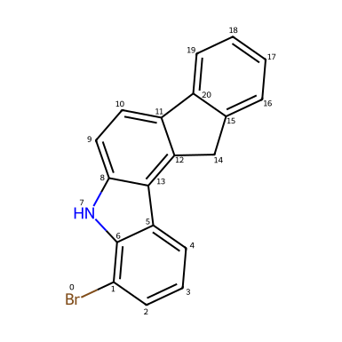 Brc1cccc2c1[nH]c1ccc3c(c12)Cc1ccccc1-3